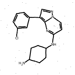 NC1CCC(Nc2ccn3ncc(-c4cccc(Cl)c4)c3n2)CC1